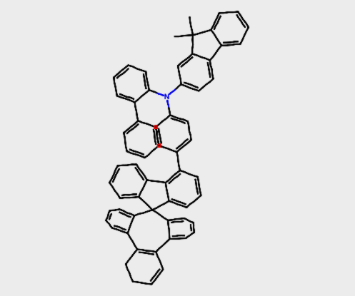 CC1(C)c2ccccc2-c2ccc(N(c3ccc(-c4cccc5c4-c4ccccc4C54c5ccccc5C5=C(CCC=C5)c5ccccc54)cc3)c3ccccc3-c3ccccc3)cc21